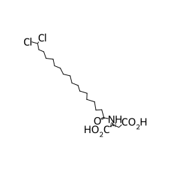 O=C(O)C[C@H](NC(=O)CCCCCCCCCCCCCCCCC(Cl)Cl)C(=O)O